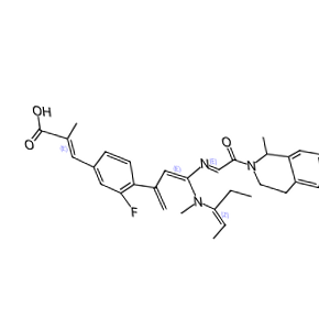 C=C(/C=C(/N=C/C(=O)N1CCc2ccccc2C1C)N(C)/C(=C\C)CC)c1ccc(/C=C(\C)C(=O)O)cc1F